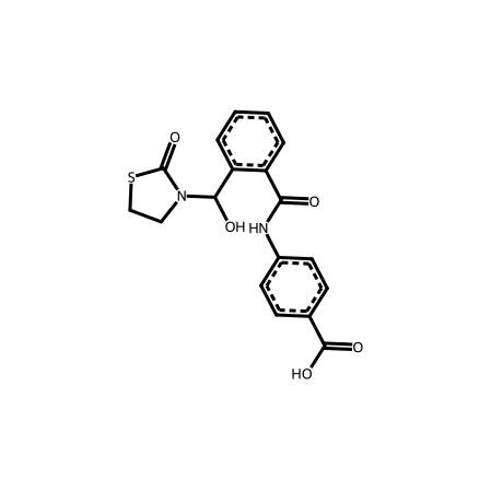 O=C(O)c1ccc(NC(=O)c2ccccc2C(O)N2CCSC2=O)cc1